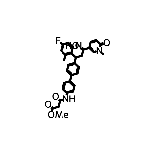 COC(=O)CC(=O)Nc1ccc(-c2ccc(C(C/C(=N\O)c3ccc(=O)n(C)c3)c3ccc(F)cc3C)cc2)cc1